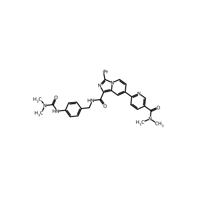 CC(C)c1nc(C(=O)NCc2ccc(NC(=O)N(C)C)cc2)c2cc(-c3ccc(C(=O)N(C)C)cn3)ccn12